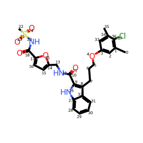 Cc1cc(OCCCc2c(C(=O)NCc3ccc(C(=O)NS(C)(=O)=O)o3)[nH]c3ccccc23)cc(C)c1Cl